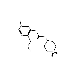 O=C(Nc1cc(Br)cnc1CCO)OC1CCS(=O)(=O)CC1